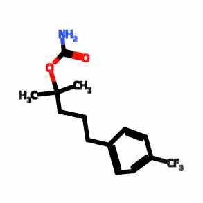 CC(C)(CCCc1ccc(C(F)(F)F)cc1)OC(N)=O